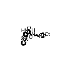 CCN1CCN(CCCNC(=O)c2cc(=O)[nH]c3ccc(S(=O)(=O)N4CCCCC4)cc23)CC1